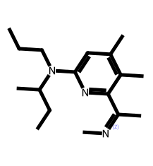 CCCN(c1cc(C)c(C)c(/C(C)=N\C)n1)C(C)CC